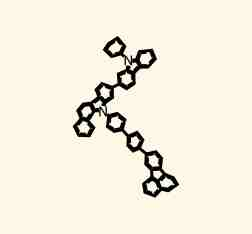 c1ccc(-n2c3ccccc3c3ccc(-c4ccc5c6ccc7ccccc7c6n(-c6ccc(-c7ccc(-c8ccc9c(c8)-c8cccc%10cccc-9c8%10)cc7)cc6)c5c4)cc32)cc1